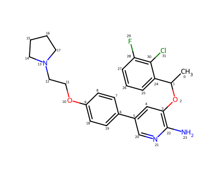 CC(Oc1cc(-c2ccc(OCCN3CCCC3)cc2)cnc1N)c1cccc(F)c1Cl